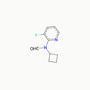 O=CN(c1ncccc1F)C1CCC1